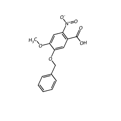 COc1cc([N+](=O)[O-])c(C(=O)O)cc1OCc1ccccc1